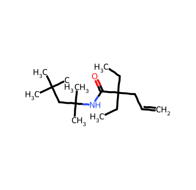 C=CCC(CC)(CC)C(=O)NC(C)(C)CC(C)(C)C